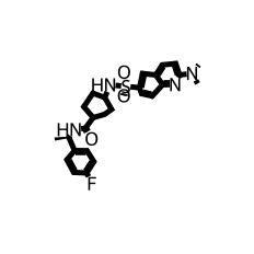 C[C@@H](NC(=O)C1CCC(NS(=O)(=O)c2ccc3nc(N(C)C)ccc3c2)CC1)c1ccc(F)cc1